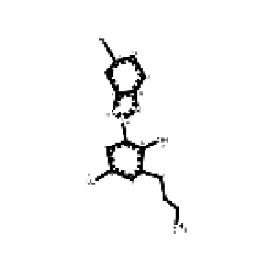 CCCCc1cc(C)cc(-n2nc3ccc(Cl)cc3n2)c1O